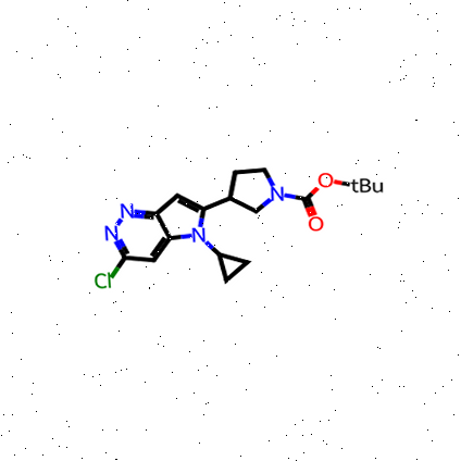 CC(C)(C)OC(=O)N1CCC(c2cc3nnc(Cl)cc3n2C2CC2)C1